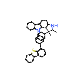 CC1Nc2ccc3c4ccccc4n(-c4ccc(-c5cccc6c5sc5ccccc56)cc4)c3c2C1(C)c1ccccc1